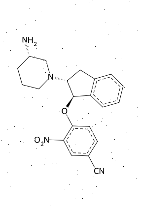 N#Cc1ccc(O[C@@H]2c3ccccc3C[C@H]2N2CCC[C@H](N)C2)c([N+](=O)[O-])c1